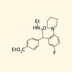 CCNC(=O)C(c1ccc(C(=O)OCC)cc1)c1cc(F)ccc1N1CCCCC1